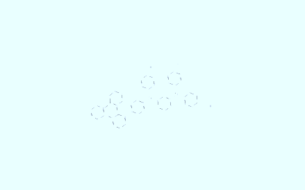 CC(C)(C)c1ccc(N2c3ccc(C(C)(C)C)cc3B3c4cc(C(C)(C)C)ccc4N(c4ccc(-c5cccc6c7ccccc7c7ccccc7c56)cc4)c4cccc2c43)cc1